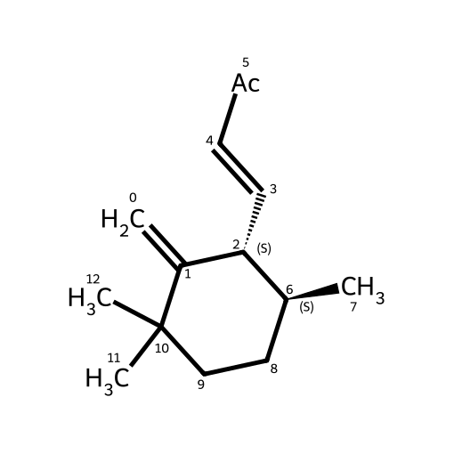 C=C1[C@H](C=CC(C)=O)[C@@H](C)CCC1(C)C